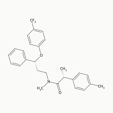 Cc1ccc([C@@H](C)C(=O)N(C)CC[C@@H](Oc2ccc(C(F)(F)F)cc2)c2ccccc2)cc1